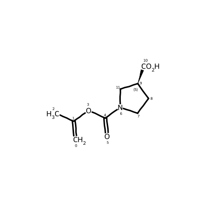 C=C(C)OC(=O)N1CC[C@H](C(=O)O)C1